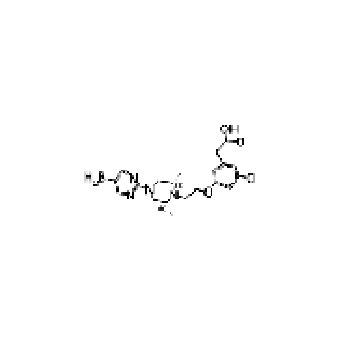 Bc1cnc(N2C[C@@H](C)N(CCOc3cc(Cl)cc(CC(=O)O)c3)[C@@H](C)C2)nc1